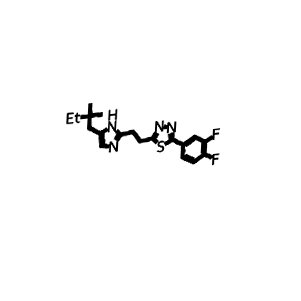 CCC(C)(C)Cc1cnc(CCc2nnc(-c3ccc(F)c(F)c3)s2)[nH]1